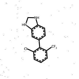 FC(F)(F)c1cccc(Cl)c1-c1ccc2c(c1)NCN2